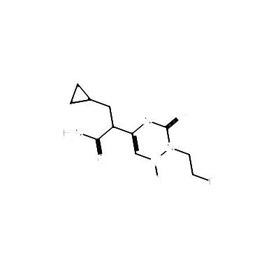 NC(=O)C(CC1CC1)C1=C[S+]([O-])N(CCF)C(=O)N1